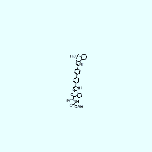 COC(=O)N[C@H](C(=O)N1CCC[C@H]1c1ncc(-c2ccc(-c3ccc(-c4cnc(C5CCCC[C@@H]5C(=O)O)[nH]4)cc3)cc2)[nH]1)C(C)C